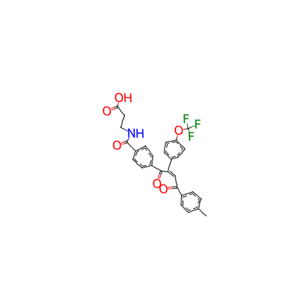 Cc1ccc(C(=O)C=C(C(=O)c2ccc(C(=O)NCCC(=O)O)cc2)c2ccc(OC(F)(F)F)cc2)cc1